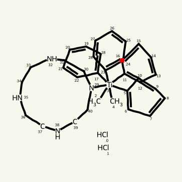 Cl.Cl.[CH3][Ti]([CH3])([c]1ccccc1)([c]1ccccc1)([c]1ccccc1)([c]1ccccc1)[N]1CCNCCNCCNCC1